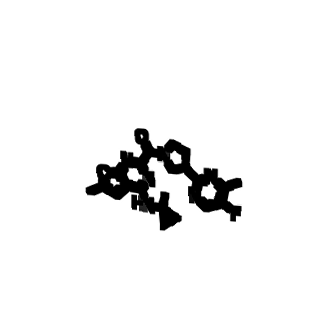 Cc1cc2c(NC3(C)CC3)nc(C(=O)N3CCC(c4ncc(F)c(C)n4)C3)nc2o1